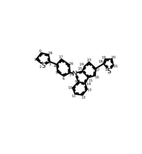 c1csc(-c2ccc(-n3c4ccccc4c4cc(-c5cccs5)ccc43)cc2)c1